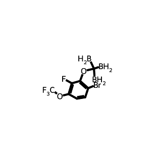 BC(B)(B)Oc1c(Br)ccc(OC(F)(F)F)c1F